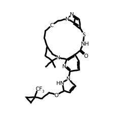 Cc1c2cnn1CCCCC1CN(c3nc(N4C=CC(OCCC5(C(F)(F)F)CC5)N4)ccc3C(=O)NS2)C(C)(C)C1